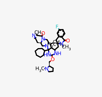 C=CC(=O)N1CCN(C2(C3CCCCCC3)NC(OC[C@H]3CCCN3C)NC(C[C@]3(C)Cc4cc(F)ccc4C(=O)N3C)C2CC)C[C@H]1CC#N